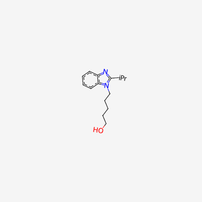 CC(C)c1nc2ccccc2n1CCCCCO